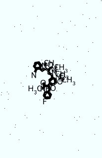 CNC(=O)c1c(-c2ccc(F)cc2)oc2cc(N(C)S(C)(=O)=O)c(-c3cc(-c4cc5c(C#N)cccc5n4C)c(=O)n(C)n3)cc12